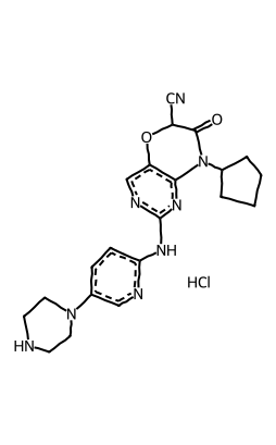 Cl.N#CC1Oc2cnc(Nc3ccc(N4CCNCC4)cn3)nc2N(C2CCCC2)C1=O